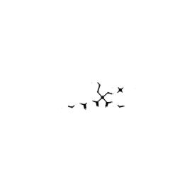 CCCC(CSC(C)(C)C)(C(=O)OCC)C(=O)OC(=O)OCC